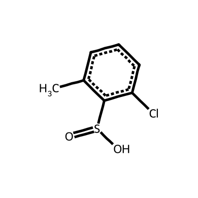 Cc1cccc(Cl)c1S(=O)O